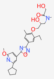 CCc1cc(-c2noc(-c3cc(OC)nc(C4CCCC4)c3)n2)cc(C)c1OCC(O)CN(C)C(=O)CO